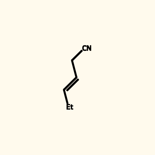 CCC=CCC#N